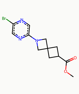 COC(=O)C1CC2(C1)CN(c1cnc(Br)cn1)C2